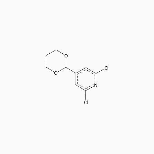 Clc1cc(C2OCCCO2)cc(Cl)n1